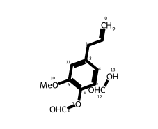 C=CCc1ccc(OC=O)c(OC)c1.O=CO